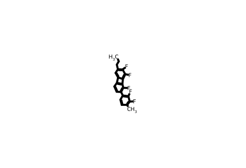 CCCc1cc2c(c(F)c1F)-c1c-2ccc(-c2ccc(C)c(F)c2F)c1F